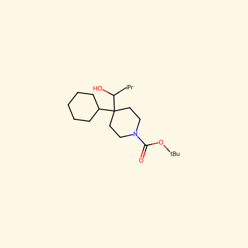 CC(C)C(O)C1(C2CCCCC2)CCN(C(=O)OC(C)(C)C)CC1